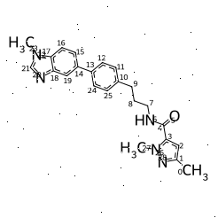 Cc1cc(C(=O)NCCCc2ccc(-c3ccc4c(c3)ncn4C)cc2)n(C)n1